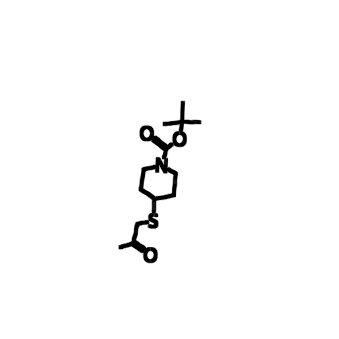 CC(=O)CSC1CCN(C(=O)OC(C)(C)C)CC1